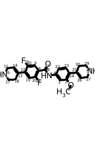 COc1cc(NC(=O)c2cc(F)c(C3=CCNCC3)cc2F)ccc1C1=CCNCC1